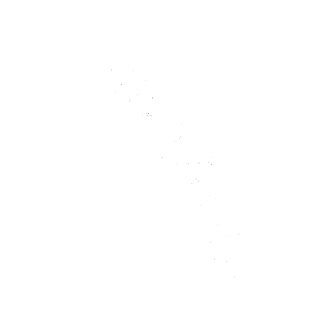 CC(C)(C)c1ccc(C(=O)NC(C=O)Cc2ccc(-c3noc(-c4ccc(-c5ccc(F)cc5)cc4)n3)cc2)cc1